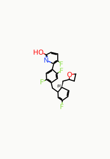 Oc1ccc(F)c(-c2cc(F)c(CC3C=C(F)C=C[C@@H]3CC3CCO3)cc2F)n1